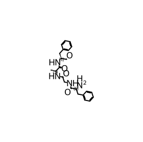 C[C@H](NC(=O)CNC(=O)[C@@H](N)Cc1ccccc1)C(=O)N[C@H](C=O)Cc1ccccc1